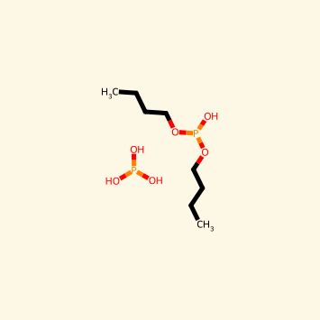 CCCCOP(O)OCCCC.OP(O)O